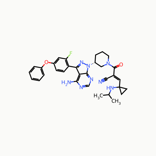 CC(C)NC1(/C=C(\C#N)C(=O)N2CCC[C@@H](n3nc(-c4ccc(Oc5ccccc5)cc4F)c4c(N)ncnc43)C2)CC1